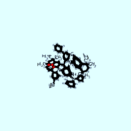 Cc1cc2c(cc1N1c3ccc(-c4ccccc4)cc3C3c4cc5c(cc4N(c4ccc(C(C)(C)C)cc4-c4ccccc4)c4cc(N(c6ccccc6)c6ccccc6)cc1c43)C(C)(C)CC5(C)C)C(C)(C)CCC2(C)C